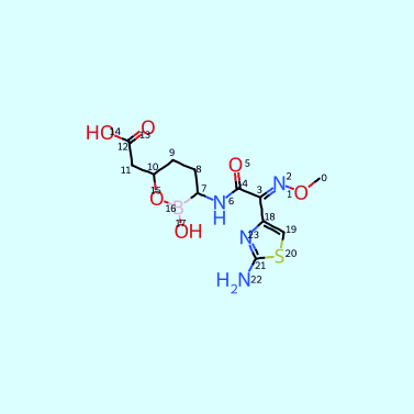 CO/N=C(/C(=O)NC1CCC(CC(=O)O)OB1O)c1csc(N)n1